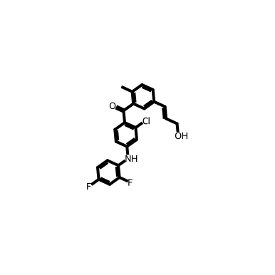 Cc1ccc(/C=C/CO)cc1C(=O)c1ccc(Nc2ccc(F)cc2F)cc1Cl